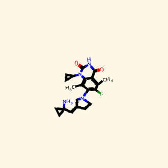 Cc1c(F)c(N2CCC(CC3(N)CC3)C2)c(C)c2c1c(=O)[nH]c(=O)n2C1CC1